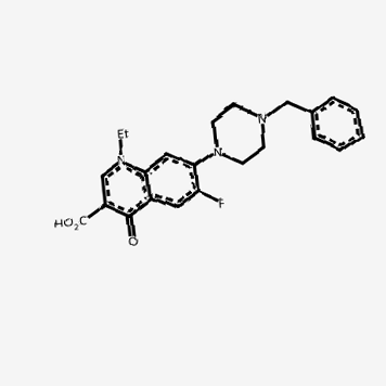 CCn1cc(C(=O)O)c(=O)c2cc(F)c(N3CCN(Cc4ccccc4)CC3)cc21